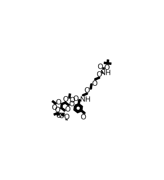 COC(=O)[C@H]1O[C@@H](Oc2ccc(C=O)cc2C(=O)NCCOCCOCCONC(=O)OC(C)(C)C)[C@H](OC(C)=O)[C@@H](OC(C)=O)[C@@H]1OC(C)=O